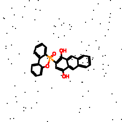 O=P1(c2cc(O)c3cc4ccccc4cc3c2O)Oc2ccccc2-c2ccccc21